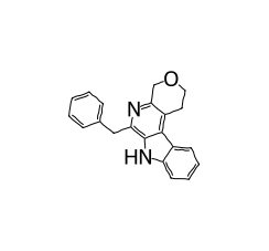 c1ccc(Cc2nc3c(c4c2[nH]c2ccccc24)CCOC3)cc1